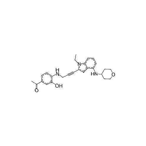 CCn1c(C#CCNc2ccc(C(C)=O)cc2O)cc2c(NC3CCOCC3)cccc21